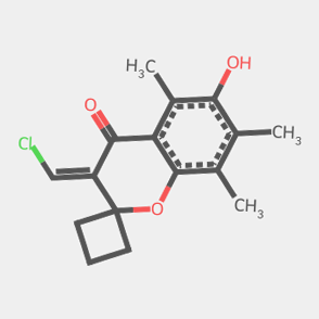 Cc1c(C)c2c(c(C)c1O)C(=O)C(=CCl)C1(CCC1)O2